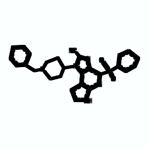 N#Cc1nc2c(S(=O)(=O)c3ccccc3)nc3[nH]ccc3c2n1C1CCN(Cc2ccccc2)CC1